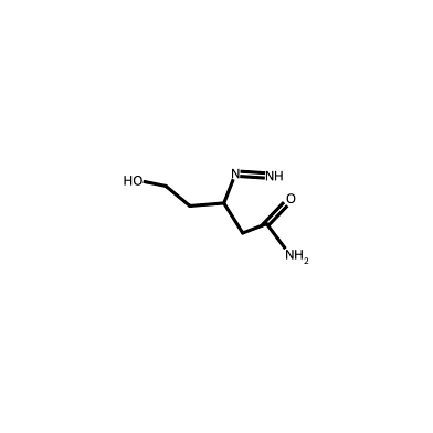 N=NC(CCO)CC(N)=O